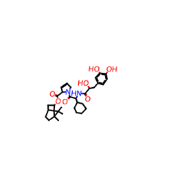 CC1(C)C2(C)CCC3CC(OC(=O)C4C=CCN4C(=O)C(NC(=O)C(O)Cc4ccc(O)c(O)c4)C4CCCCC4)C312